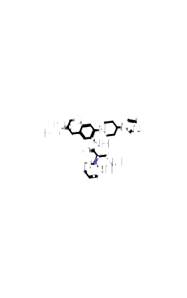 C[C@@]1(O)COc2cc(N3CCC(n4ccnc4)CC3)c(NC(=O)/C(C=N)=C3\N=CC=CN3)cc2C1